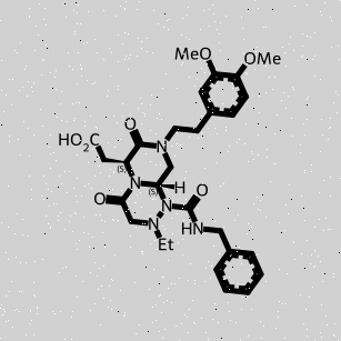 CCN1CC(=O)N2[C@@H](CC(=O)O)C(=O)N(CCc3ccc(OC)c(OC)c3)C[C@@H]2N1C(=O)NCc1ccccc1